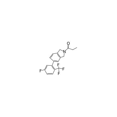 CCC(=O)N1Cc2ccc(-c3cc(F)ccc3C(F)(F)F)cc2C1